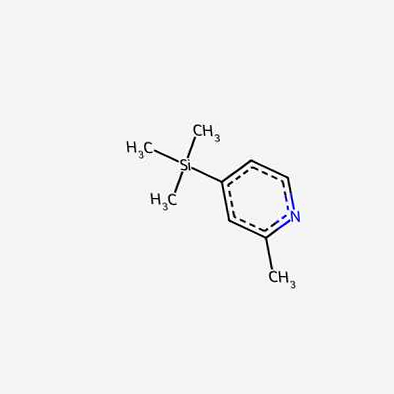 Cc1cc([Si](C)(C)C)ccn1